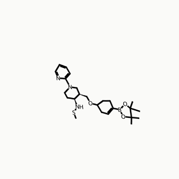 CSN[C@H]1CCN(c2ccccn2)C[C@H]1COC1CC=C(B2OC(C)(C)C(C)(C)O2)CC1